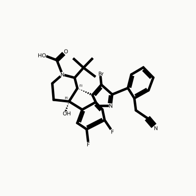 CC(C)(C)C1[C@H](c2onc(-c3ccccc3CC#N)c2Br)[C@@](O)(c2ccc(F)c(F)c2)CCN1C(=O)O